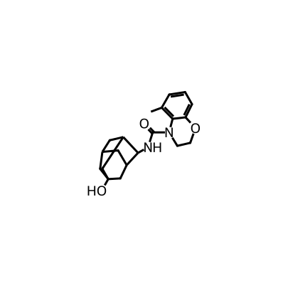 Cc1cccc2c1N(C(=O)NC1C3CC4CC1CC(O)(C4)C3)CCO2